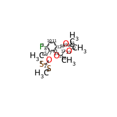 CSC(=S)O[C@@H](C)c1c(F)cccc1O[C@@H](C)[C@@H]1COC(C)(C)O1